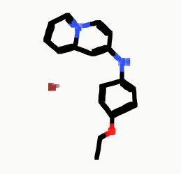 CCOc1ccc(Nc2cc[n+]3ccccc3c2)cc1.[Br-]